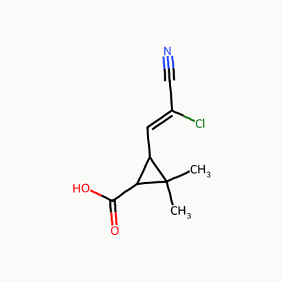 CC1(C)C(C=C(Cl)C#N)C1C(=O)O